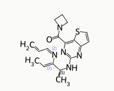 C=C/C=N\C(=C/C)[C@H](C)Nc1nc(C(=O)N2CCC2)c2sccc2n1